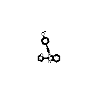 COc1ccc(C#Cn2c(-c3ccco3)nc3ccccc32)cc1